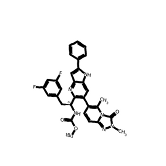 Cc1c(-c2cc3[nH]c(-c4ccccc4)cc3nc2[C@H](Cc2cc(F)cc(F)c2)NC(=O)OC(C)(C)C)ccc2nn(C)c(=O)n12